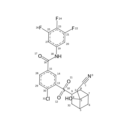 N#CCC1(O)C2CC1CC(S(=O)(=O)c1cc(C(=O)Nc3cc(F)c(F)c(F)c3)ccc1Cl)C2